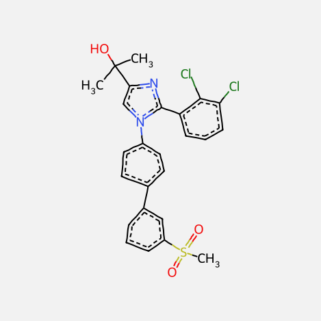 CC(C)(O)c1cn(-c2ccc(-c3cccc(S(C)(=O)=O)c3)cc2)c(-c2cccc(Cl)c2Cl)n1